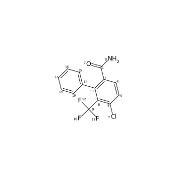 NC(=O)c1ccc(Cl)c(C(F)(F)F)c1-c1ccccc1